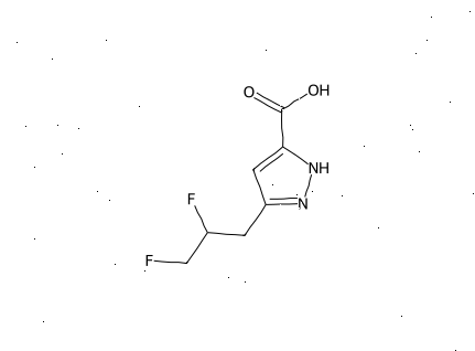 O=C(O)c1cc(CC(F)CF)n[nH]1